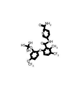 Cc1c(C(F)(F)F)ccc(Oc2ccc(OC(F)(F)F)cc2OC(S)(S)S)c1C(=O)Nc1ccc(C(N)=O)nc1